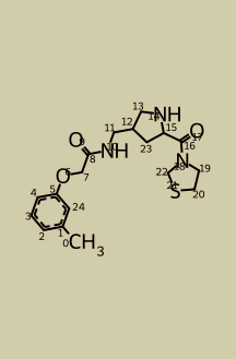 Cc1cccc(OCC(=O)NCC2CNC(C(=O)N3CCSC3)C2)c1